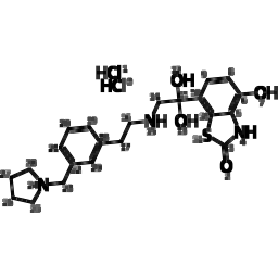 Cl.Cl.O=c1[nH]c2c(O)ccc(C(O)(O)CNCCc3cccc(CN4CCCC4)c3)c2s1